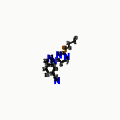 CCCCSc1nccc(-n2ncc3ccc(C#N)cc32)n1